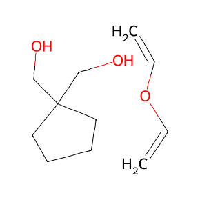 C=COC=C.OCC1(CO)CCCC1